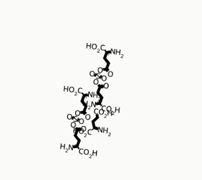 N[C@@H](CCC(=O)O)C(=O)O.N[C@@H](CCC(=O)OS(=O)(=O)OC(=O)CC[C@H](N)C(=O)O)C(=O)O.N[C@@H](CCC(=O)OS(=O)(=O)OC(=O)CC[C@H](N)C(=O)O)C(=O)O